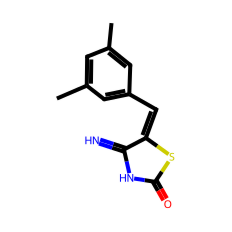 Cc1cc(C)cc(C=C2SC(=O)NC2=N)c1